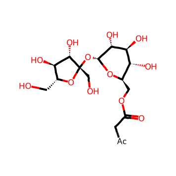 CC(=O)CC(=O)OC[C@H]1O[C@H](O[C@]2(CO)O[C@H](CO)[C@@H](O)[C@@H]2O)[C@H](O)[C@@H](O)[C@@H]1O